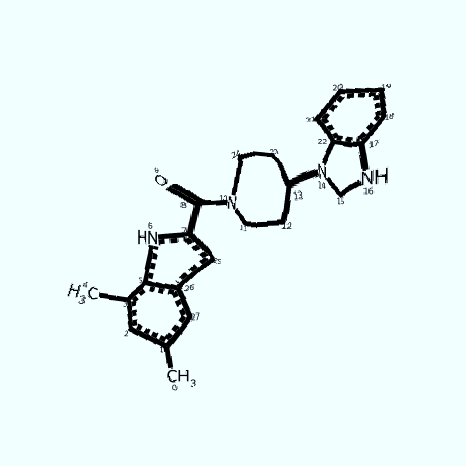 Cc1cc(C)c2[nH]c(C(=O)N3CCC(N4[CH]Nc5ccccc54)CC3)cc2c1